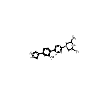 CC1CN(c2ncc(-c3ccc(-c4cn[nH]c4)cc3O)nn2)CC(C)N1